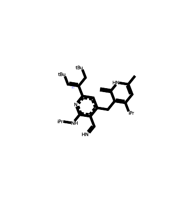 C=C1NC(C)=CC(C(C)C)=C1Cc1cc(/C(=C/C(C)(C)C)CC(C)(C)C)nc(NC(C)C)c1C=N